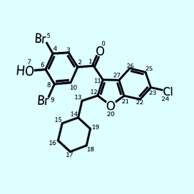 O=C(c1cc(Br)c(O)c(Br)c1)c1c(CC2CCCCC2)oc2cc(Cl)ccc12